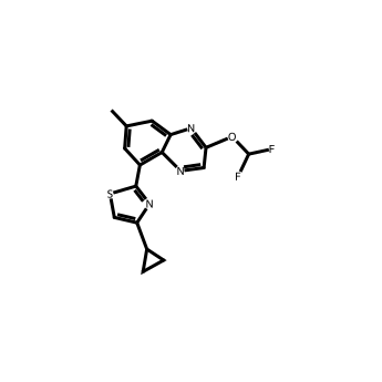 Cc1cc(-c2nc(C3CC3)cs2)c2ncc(OC(F)F)nc2c1